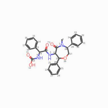 CN1C(=O)C(NC(=O)C(NC(=O)O)c2ccccc2)C(c2ccccc2)OC[C@@H]1c1ccccc1